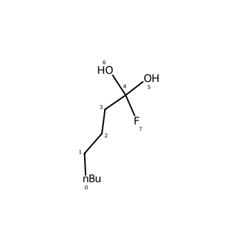 CCCCCCCC(O)(O)F